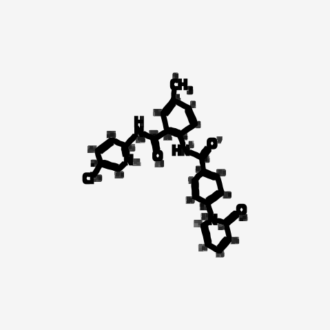 Cc1ccc(NC(=O)c2ccc(-n3ccccc3=O)cc2)c(C(=O)Nc2ccc(Cl)cn2)c1